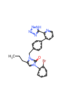 CCCc1cn(-c2ccccc2Br)c(=O)n1Cc1ccc(-c2cccnc2-c2nnn[nH]2)cc1